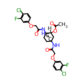 CC(=O)O[C@@H]1CC2(NC(=O)COc3ccc(Cl)c(F)c3)CCC1(NC(=O)COc1ccc(Cl)c(F)c1)CC2